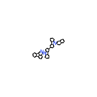 c1ccc2c(c1)-c1cccc3c(-n4c5ccccc5c5cc(-c6ccc7c(c6)c6ccccc6n7-c6ccc7ccccc7c6)ccc54)ncc-2c13